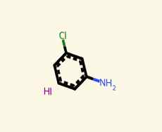 I.Nc1cccc(Cl)c1